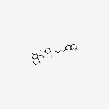 C[C@H]1OCCc2cc(F)cc([C@@H](C(=O)O)N(C)[C@H]3CC[C@H](OCCCCc4ccc5c(n4)NCCC5)C3)c21